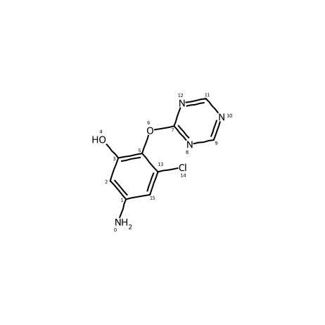 Nc1cc(O)c(Oc2ncncn2)c(Cl)c1